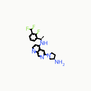 C[C@@H](Nc1ccnc2cnc(N3CC[C@H](N)C3)cc12)c1cccc(C(F)F)c1F